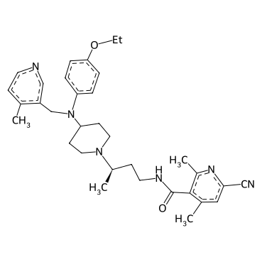 CCOc1ccc(N(Cc2cnccc2C)C2CCN([C@H](C)CCNC(=O)c3c(C)cc(C#N)nc3C)CC2)cc1